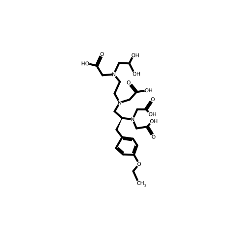 CCOc1ccc(C[C@@H](CN(CCN(CC(=O)O)CC(O)O)CC(=O)O)N(CC(=O)O)CC(=O)O)cc1